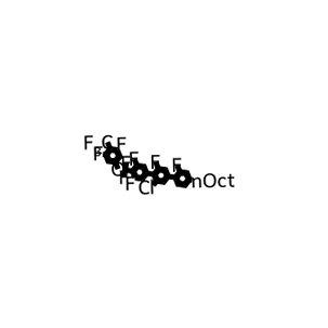 CCCCCCCCc1ccc(-c2cc(F)c(-c3cc(F)c(C(F)(F)Oc4cc(F)c(C(F)(F)F)c(F)c4)c(F)c3)c(Cl)c2)c(F)c1